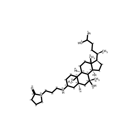 CC(C)C(O)CC[C@@H](C)[C@H]1CC[C@H]2C3[C@H](CCC12C)C1(C)CCC(NCCCN2CCCC2=O)C[C@@H]1C[C@@]3(C)O